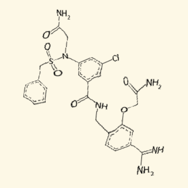 N=C(N)c1ccc(CNC(=O)c2cc(Cl)cc(N(CC(N)=O)S(=O)(=O)Cc3ccccc3)c2)c(OCC(N)=O)c1